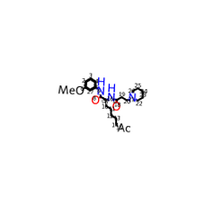 COc1cccc(NC(=O)[C@H](CCCCCC(C)=O)NC(=O)CCN2CCCCC2)c1